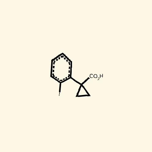 O=C(O)C1(c2ccccc2I)CC1